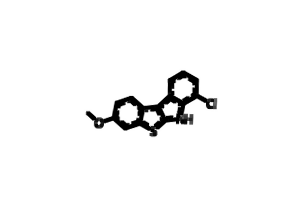 COc1ccc2c(c1)sc1[nH]c3c(Cl)cccc3c12